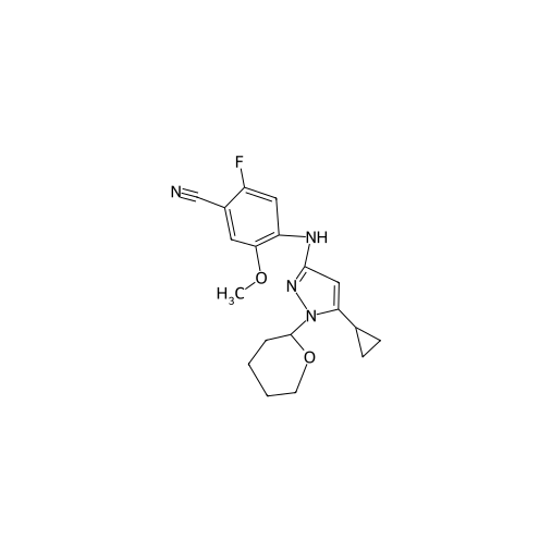 COc1cc(C#N)c(F)cc1Nc1cc(C2CC2)n(C2CCCCO2)n1